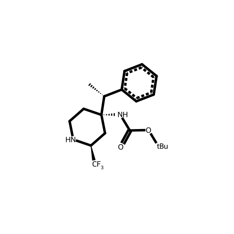 C[C@H](c1ccccc1)[C@]1(NC(=O)OC(C)(C)C)CCN[C@H](C(F)(F)F)C1